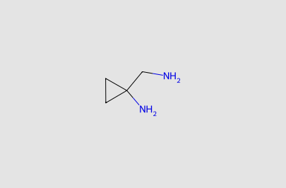 NCC1(N)CC1